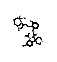 O=C(O)N[C@H](C(=O)Nc1cccc(F)c1CC[C@H]1CNC2CCCS(O)(O)N1C2)C1(c2ccc(Cl)cc2)CCOCC1